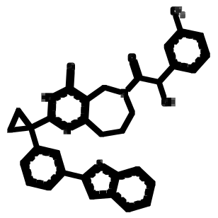 O=C(C(O)c1cccc(C(F)(F)F)c1)N1CCCc2nc(C3(c4cccc(-c5cc6ccccc6s5)c4)CC3)[nH]c(=O)c2C1